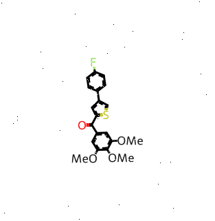 COc1cc(C(=O)c2cc(-c3ccc(F)cc3)cs2)cc(OC)c1OC